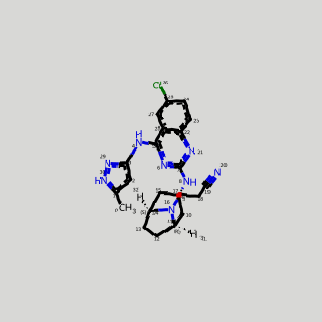 Cc1cc(Nc2nc(N[C@@H]3C[C@H]4CC[C@@H](C3)N4CCC#N)nc3ccc(Cl)cc23)n[nH]1